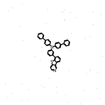 c1ccc(-c2ccc(N(c3ccc(-c4ccccc4)cc3)c3cccc(-c4cccc5c4sc4ccncc45)c3)cc2)cc1